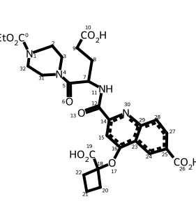 CCOC(=O)N1CCN(C(=O)C(CCC(=O)O)NC(=O)c2cc(OC3(C(=O)O)CCC3)c3cc(C(=O)O)ccc3n2)CC1